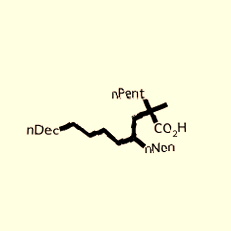 CCCCCCCCCCCCCCC(CCCCCCCCC)CC(C)(CCCCC)C(=O)O